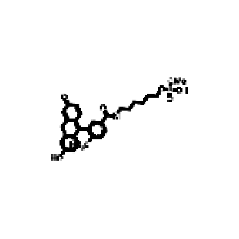 COP(=O)(O)OCCCCCCNC(=O)c1ccc(C(=O)O)c(C2=C3C=CC(=O)C=C3Cc3cc(O)ccc32)c1